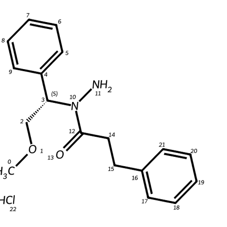 COC[C@H](c1ccccc1)N(N)C(=O)CCc1ccccc1.Cl